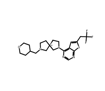 FC(F)(F)Cc1cc2c(N3CC[C@@]4(CCN(CC5CCOCC5)C4)C3)ncnc2s1